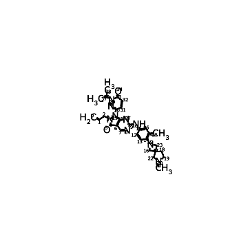 C=CCn1c(=O)c2cnc(Nc3ccc(N4CC5(CCN(C)C5)C4)c(C)c3)nc2n1-c1ccc(=O)n(C(C)C)n1